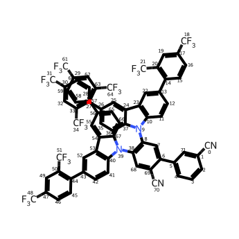 N#Cc1cccc(-c2cc(-n3c4ccc(-c5ccc(C(F)(F)F)cc5C(F)(F)F)cc4c4cc(-c5ccc(C(F)(F)F)cc5C(F)(F)F)ccc43)c(-n3c4ccc(-c5ccc(C(F)(F)F)cc5C(F)(F)F)cc4c4cc(-c5ccc(C(F)(F)F)cc5C(F)(F)F)ccc43)cc2C#N)c1